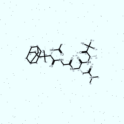 CC(=O)N[C@H](C(=O)NCC(=O)N[C@@H](CC(=O)N(C)C)C(=O)N[C@@H](C)C(=O)C(F)(F)F)C(C)(C)C12CC3CC(CC(C3)C1)C2